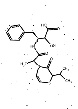 CC(C)C1SC=CN(C(C)C(=O)N[C@@H](Cc2ccccc2)C(O)C(=O)O)C1=O